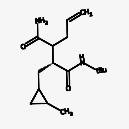 C=CCC(C(N)=O)[C@@H](CC1CC1C)C(=O)NC(C)(C)C